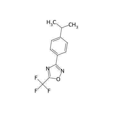 CC(C)c1ccc(-c2noc(C(F)(F)F)n2)cc1